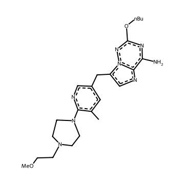 CCCCOc1nc(N)c2ncc(Cc3cnc(N4CCN(CCOC)CC4)c(C)c3)n2n1